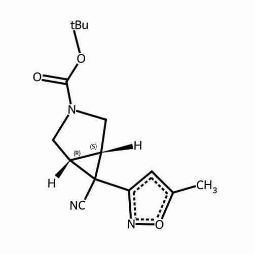 Cc1cc(C2(C#N)[C@@H]3CN(C(=O)OC(C)(C)C)C[C@@H]32)no1